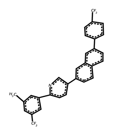 Cc1cc(-c2ccc(-c3ccc4ccc(-c5ccc(C(F)(F)F)cc5)cc4c3)cn2)cc(C(F)(F)F)c1